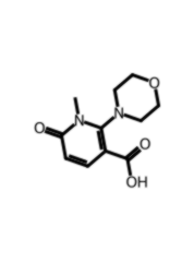 Cn1c(N2CCOCC2)c(C(=O)O)ccc1=O